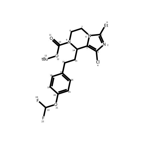 CCc1nc(Cl)c2n1CCN(C(=O)OC(C)(C)C)C2CCc1ccc(OC(F)F)cc1